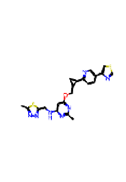 Cc1nc(NCc2nnc(C)s2)cc(OCC2CC2c2ccc(-c3cscn3)cn2)n1